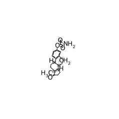 C=C[C@@]12CCc3cc(OS(N)(=O)=O)ccc3[C@H]1CC[C@]1(C)C(=O)CC[C@@H]21